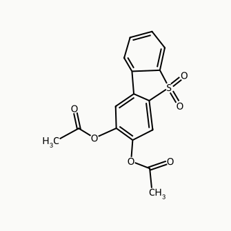 CC(=O)Oc1cc2c(cc1OC(C)=O)S(=O)(=O)c1ccccc1-2